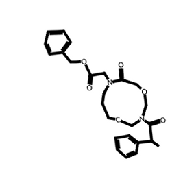 CC(C(=O)N1CCCCCN(CC(=O)OCc2ccccc2)C(=O)COC1)c1ccccc1